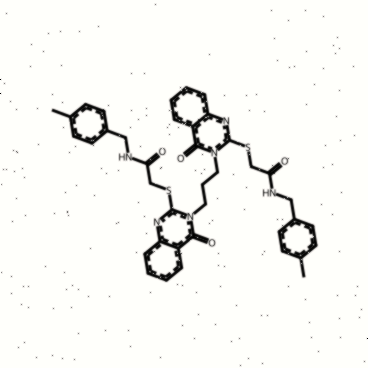 Cc1ccc(CNC(=O)CSc2nc3ccccc3c(=O)n2CCCn2c(SCC(=O)NCc3ccc(C)cc3)nc3ccccc3c2=O)cc1